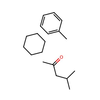 C1CCCCC1.CC(=O)CC(C)C.Cc1ccccc1